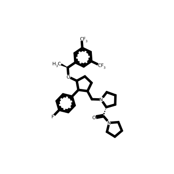 C[C@H](OC1CCC(CN2CCC[C@@H]2C(=O)N2CCCC2)C1c1ccc(F)cc1)c1cc(C(F)(F)F)cc(C(F)(F)F)c1